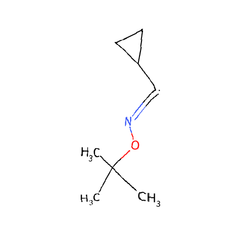 CC(C)(C)O/N=[C]/C1CC1